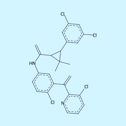 C=C(c1cc(NC(=C)C2C(c3cc(Cl)cc(Cl)c3)C2(C)C)ccc1Cl)c1ncccc1Cl